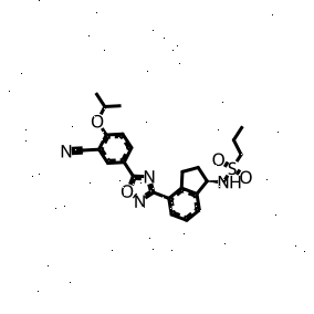 CCCS(=O)(=O)N[C@@H]1CCc2c(-c3noc(-c4ccc(OC(C)C)c(C#N)c4)n3)cccc21